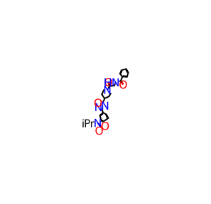 CC(C)n1c(=O)oc2ccc(-c3noc(C4CCN(C(=O)CNC(=O)c5ccccc5)CC4)n3)cc21